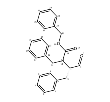 O=C[C@H](Cc1ccccc1)N(Cc1ccccc1)C(=O)OCc1ccccc1